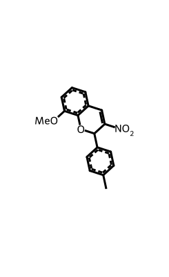 COc1cccc2c1OC(c1ccc(C)cc1)C([N+](=O)[O-])=C2